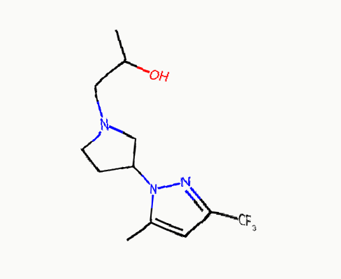 Cc1cc(C(F)(F)F)nn1C1CCN(CC(C)O)C1